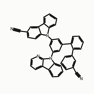 N#Cc1cccc(-c2ccccc2-c2cc(-n3c4ccccc4c4cc(C#N)ccc43)cc(-n3c4ccccc4c4cccnc43)c2)c1